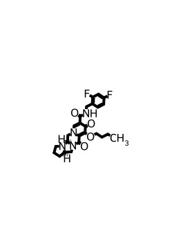 CCCCOc1c2n(cc(C(=O)NCc3ccc(F)cc3F)c1=O)C[C@H]1N(C[C@@H]3CCCN31)C2=O